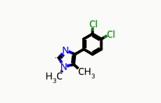 Cc1c(-c2ccc(Cl)c(Cl)c2)n[c]n1C